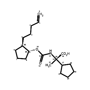 C=CCCC[C@@H]1CCC[C@H]1OC(=O)N[C@](C)(C(=O)O)C1CCCC1